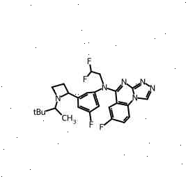 CC(N1CCC1c1cc(F)cc(N(CC(F)F)c2nc3nncn3c3ccc(F)cc23)c1)C(C)(C)C